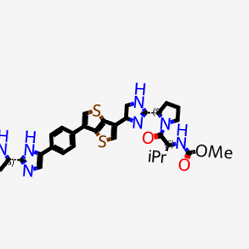 COC(=O)N[C@H](C(=O)N1CCC[C@H]1C1=NC(c2csc3c(-c4ccc(-c5cnc([C@@H]6CCCN6)[nH]5)cc4)csc23)CN1)C(C)C